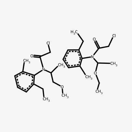 CCOC(C)N(C(=O)CCl)c1c(C)cccc1CC.CCc1cccc(C)c1N(C(=O)CCl)C(C)COC